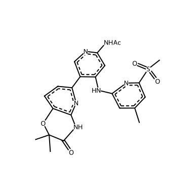 CC(=O)Nc1cc(Nc2cc(C)cc(S(C)(=O)=O)n2)c(-c2ccc3c(n2)NC(=O)C(C)(C)O3)cn1